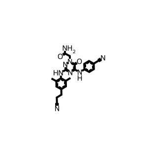 Cc1cc(CCC#N)cc(C)c1Nc1nc(Nc2ccc(C#N)cc2)c(=O)n(CC(N)=O)n1